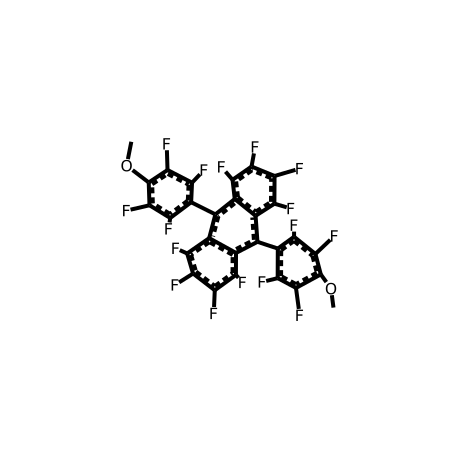 COc1c(F)c(F)c(-c2c3c(F)c(F)c(F)c(F)c3c(-c3c(F)c(F)c(OC)c(F)c3F)c3c(F)c(F)c(F)c(F)c23)c(F)c1F